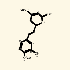 COC1=CC(O)OC(CCc2ccc(OC)c(O)c2)C1